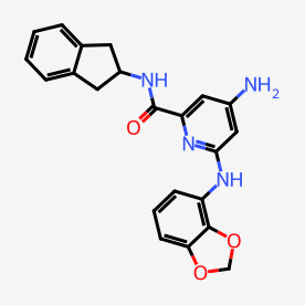 Nc1cc(Nc2cccc3c2OCO3)nc(C(=O)NC2Cc3ccccc3C2)c1